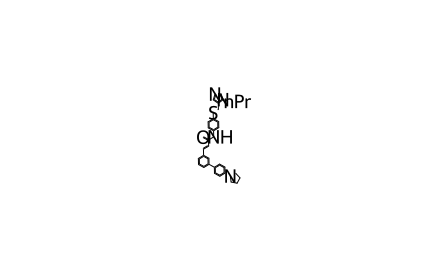 CCCn1cncc1CSc1ccc(NC(=O)/C=C/c2cccc(-c3ccc(N4CCCC4)cc3)c2)cc1